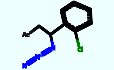 CC(=O)CC(N=[N+]=[N-])c1ccccc1Cl